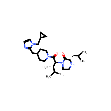 CC(C)C[C@@H]1NCCN([C@H](C(=O)N2CCC(Cc3nccn3CC3CC3)CC2)[C@@H](C)C(C)C)C1=O